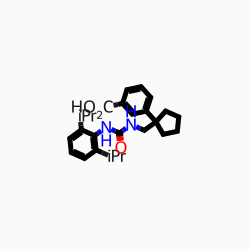 CC(C)c1cccc(C(C)C)c1NC(=O)NCC1(c2cccc(C(=O)O)c2)CCCC1